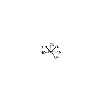 N#[C][Fe]([C]#N)([C]#N)([C]#N)([C]#N)[N]=O